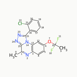 Cc1nc2ccc(OC(C)(F)F)cc2n2c(-c3ccccc3Cl)nnc12